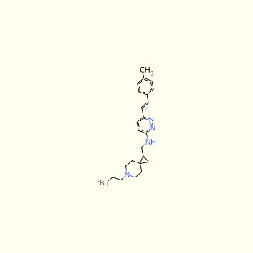 Cc1ccc(/C=C/c2ccc(NCC3CC34CCN(CCC(C)(C)C)CC4)nn2)cc1